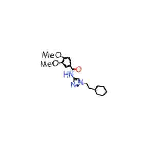 COc1ccc(C(=O)Nc2cn(CCC3CCCCC3)cn2)cc1OC